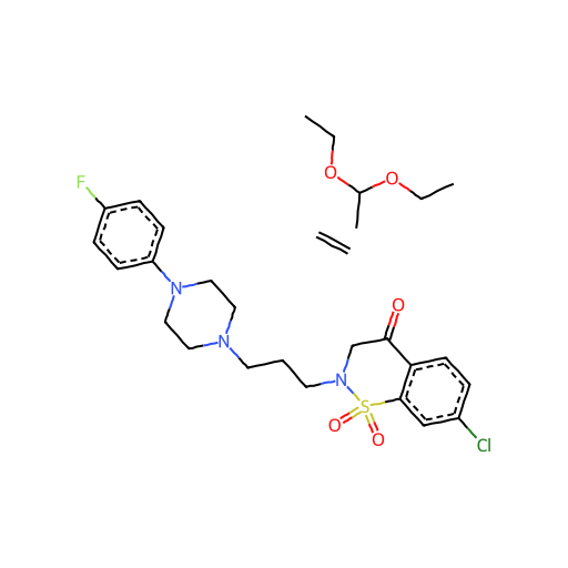 C=C.CCOC(C)OCC.O=C1CN(CCCN2CCN(c3ccc(F)cc3)CC2)S(=O)(=O)c2cc(Cl)ccc21